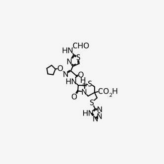 O=CNc1nc(C(=NOC2CCCC2)C(=O)NC2C(=O)N3CC(CSc4nnn[nH]4)(C(=O)O)CS[C@H]23)cs1